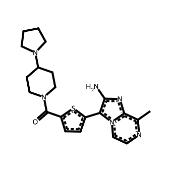 Cc1nccn2c(-c3ccc(C(=O)N4CCC(N5CCCC5)CC4)s3)c(N)nc12